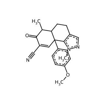 COc1ccc(C23C=C(C#N)C(=O)C(C)C2CCc2cnn(C)c23)cc1